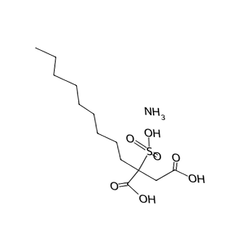 CCCCCCCCCC(CC(=O)O)(C(=O)O)S(=O)(=O)O.N